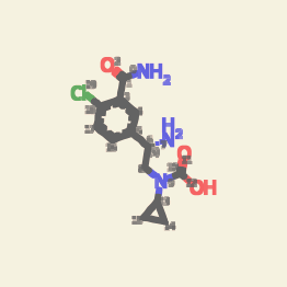 NC(=O)c1cc([C@H](N)CN(C(=O)O)C2CC2)ccc1Cl